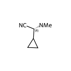 CN[C@@H](C#N)C1CC1